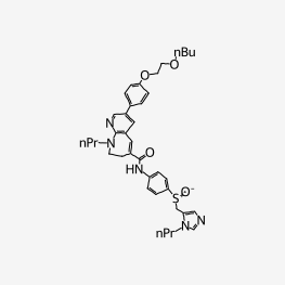 CCCCOCCOc1ccc(-c2cnc3c(c2)C=C(C(=O)Nc2ccc([S@@+]([O-])Cc4cncn4CCC)cc2)CCN3CCC)cc1